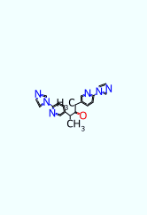 CC(C(=O)C(C)c1ccc(-n2ccnc2)nc1)c1ccc(-n2ccnc2)nc1